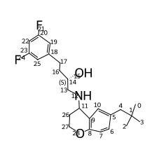 CC(C)(C)Cc1ccc2c(c1)C(NC[C@@H](O)CCc1cc(F)cc(F)c1)CCO2